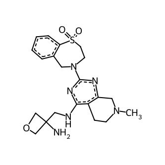 CN1CCc2c(nc(N3CCS(=O)(=O)c4ccccc4C3)nc2NCC2(N)COC2)C1